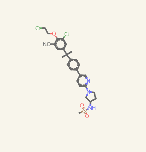 CC(C)(c1ccc(-c2ccc(N3CCC(NS(C)(=O)=O)C3)nc2)cc1)c1cc(Cl)c(OCCCl)c(C#N)c1